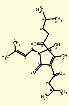 CC(C)=CC[C@@H]1C(=O)C(C(=O)CC(C)C)=C(O)C1(O)C(=O)CCC(C)C